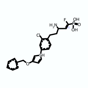 NC(/C=C(\F)P(=O)(O)O)CCc1ccc([SH]2C=CC(OCc3ccccc3)=C2)cc1Cl